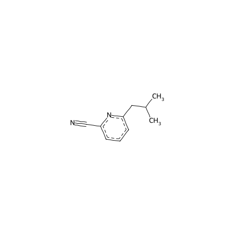 CC(C)Cc1cccc(C#N)n1